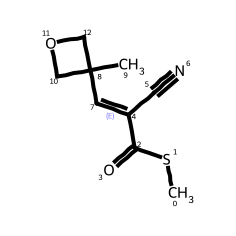 CSC(=O)/C(C#N)=C/C1(C)COC1